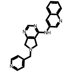 c1ccc2ncc(Nc3ncnc4c3CN(Cc3ccncc3)C4)cc2c1